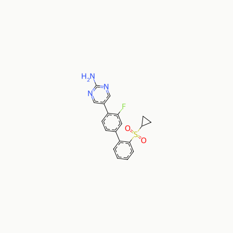 Nc1ncc(-c2ccc(-c3ccccc3S(=O)(=O)C3CC3)cc2F)cn1